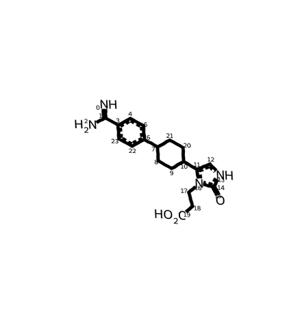 N=C(N)c1ccc(C2CCC(c3c[nH]c(=O)n3CCC(=O)O)CC2)cc1